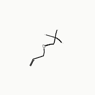 [CH2]C([CH2])([CH2])COCC=C